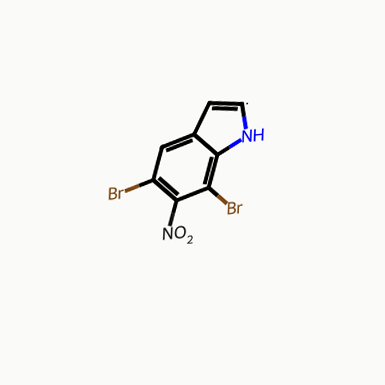 O=[N+]([O-])c1c(Br)cc2c[c][nH]c2c1Br